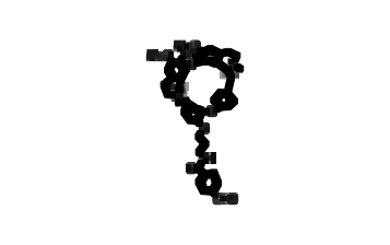 COc1cc2c3cc1Oc1c(OC)c(OC)cc4c1[C@@H](Cc1ccc(OCCCNC(=O)c5ccc(C=O)cc5)c(c1)Oc1ccc(cc1)C[C@@H]3N(C)CC2)N(C)CC4